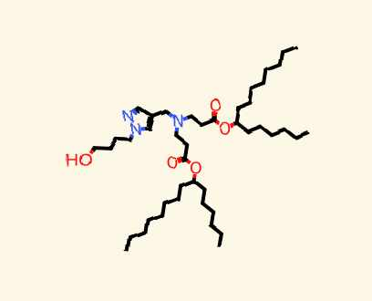 CCCCCCCCC(CCCCCC)OC(=O)CCN(CCC(=O)OC(CCCCCC)CCCCCCCC)Cc1cnn(CCCCO)c1